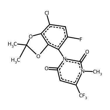 Cn1c(C(F)(F)F)cc(=O)n(-c2c(F)cc(Cl)c3c2OC(C)(C)O3)c1=O